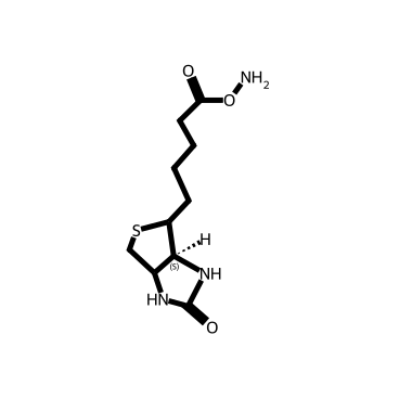 NOC(=O)CCCCC1SCC2NC(=O)N[C@@H]21